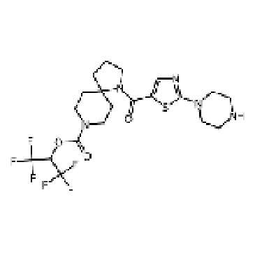 O=C(OC(C(F)(F)F)C(F)(F)F)N1CCC2(CCCN2C(=O)c2cnc(N3CCNCC3)s2)CC1